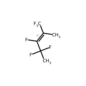 C/C(=C(/F)C(C)(F)F)C(F)(F)F